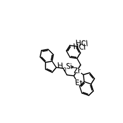 CC[CH](CCC1C=Cc2ccccc21)[Zr](=[SiH2])([CH2]c1ccccc1)[CH]1C=Cc2ccccc21.Cl.Cl